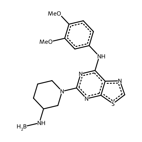 BNC1CCCN(c2nc(Nc3ccc(OC)c(OC)c3)c3ncsc3n2)C1